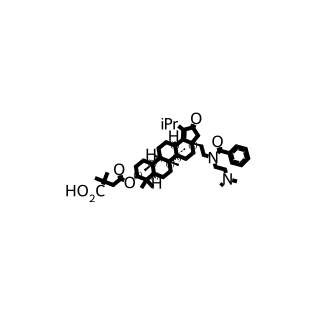 CC(C)C1=C2[C@H]3CC[C@@H]4[C@@]5(C)CC[C@H](OC(=O)CC(C)(C)C(=O)O)C(C)(C)[C@@H]5CC[C@@]4(C)[C@]3(C)CC[C@@]2(CCN(CCN(C)C)C(=O)c2ccccc2)CC1=O